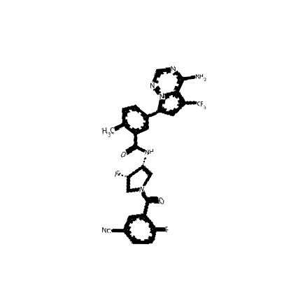 Cc1ccc(-c2cc(C(F)(F)F)c3c(N)ncnn23)cc1C(=O)N[C@@H]1CN(C(=O)c2cc(C#N)ccc2F)C[C@@H]1F